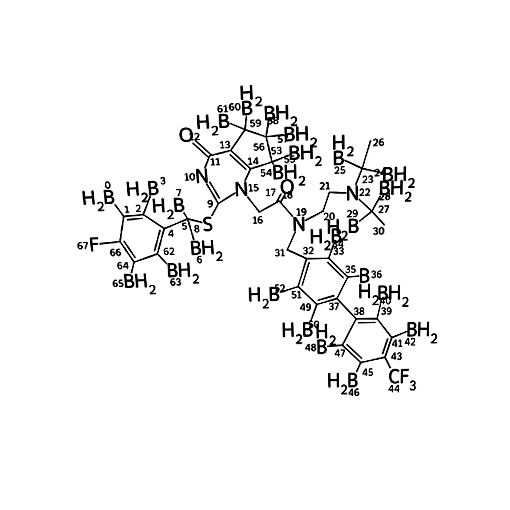 Bc1c(B)c(C(B)(B)Sc2nc(=O)c3c(n2CC(=O)N(CCN(C(B)(B)C)C(B)(B)C)Cc2c(B)c(B)c(-c4c(B)c(B)c(C(F)(F)F)c(B)c4B)c(B)c2B)C(B)(B)C(B)(B)C3(B)B)c(B)c(B)c1F